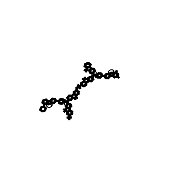 Cc1cc(C)c2oc3cc(-c4ccc(N(c5ccc6c(c5)C(C)(C)c5ccccc5-6)c5ccc6c(c5)C(C)(C)c5cc(C(C)(C)Cc7ccc8c(c7)-c7ccc(N(c9ccc(-c%10ccc%11c(c%10)oc%10c(C%12CCCCC%12)cccc%10%11)cc9)c9ccc%10c(c9)C(C)(C)c9cc(C(C)(C)C)ccc9-%10)cc7C8(C)C)ccc5-6)cc4)ccc3c2c1